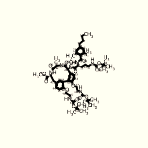 CCCCc1cc(C)c(C(=O)N[C@@H](CCCNC(=O)OC(C)(C)C)C(=O)N(C)[C@@H]2C(=O)N[C@@H](C)C(=O)N[C@H](C(=O)OC)Cc3ccc(OCCNC(=O)OC(C)(C)C)c(c3)-c3cc2ccc3OCCNC(=O)OC(C)(C)C)c(C)c1